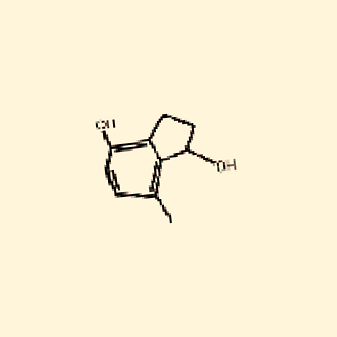 Oc1ccc(I)c2c1CCC2O